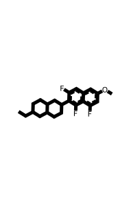 CCC1CCC2CC(c3c(F)cc4cc(OC)cc(F)c4c3F)CCC2C1